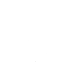 OC(O)c1ccc(Cl)c(F)c1Br